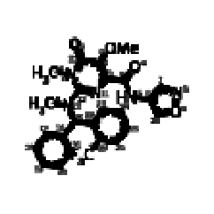 COc1c(C(=O)Nc2cnoc2)nc(N(C)C(c2ccccc2)c2ccccc2C(F)(F)F)n(C)c1=O